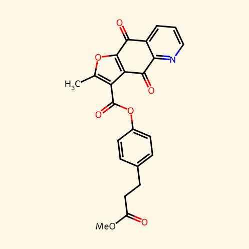 COC(=O)CCc1ccc(OC(=O)c2c(C)oc3c2C(=O)c2ncccc2C3=O)cc1